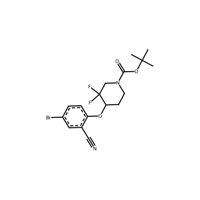 CC(C)(C)OC(=O)N1CCC(Oc2ccc(Br)cc2C#N)C(F)(F)C1